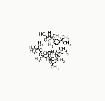 C=C(C)c1cccc(C(C)(C)NC(=O)O)c1.CC(CC(C)(C)OOC(C)(C)C)OOC(C)CC(C)(C)OOC(C)(C)C